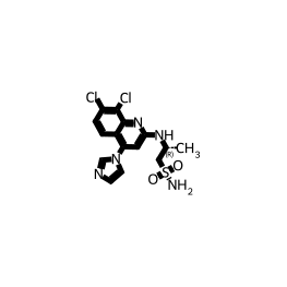 C[C@H](CS(N)(=O)=O)Nc1cc(-n2ccnc2)c2ccc(Cl)c(Cl)c2n1